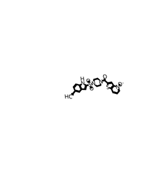 C#Cc1ccc2[nH]c(S(=O)(=O)N3CCN(C(=O)c4cc5c(ccc[n+]5[O-])s4)CC3)cc2c1